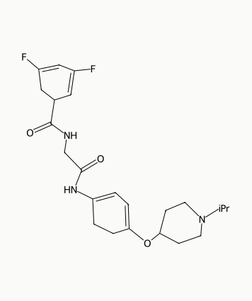 CC(C)N1CCC(OC2=CC=C(NC(=O)CNC(=O)C3C=C(F)C=C(F)C3)CC2)CC1